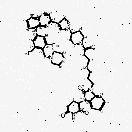 O=C1CCC(n2c(=O)n(CCCCCCC(=O)N3CCC(n4cc(-c5cnc6cccc(-c7cc(F)c(CN8CCOCC8)c(F)c7)c6n5)cn4)CC3)c3ccccc32)C(=O)N1